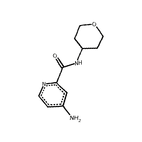 Nc1ccnc(C(=O)NC2CCOCC2)c1